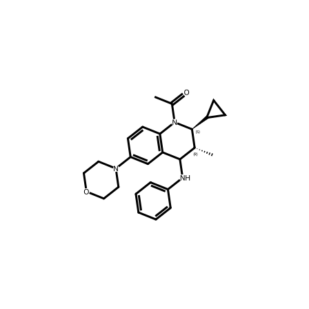 CC(=O)N1c2ccc(N3CCOCC3)cc2C(Nc2ccccc2)[C@@H](C)[C@@H]1C1CC1